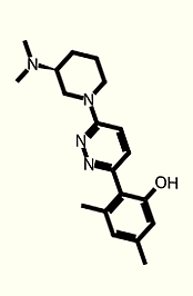 Cc1cc(C)c(-c2ccc(N3CCC[C@H](N(C)C)C3)nn2)c(O)c1